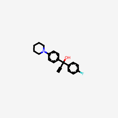 C#CC(O)(c1ccc(F)cc1)c1ccc(N2CCCCC2)cc1